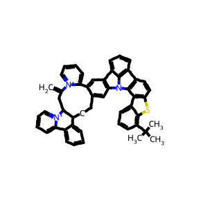 C=C1CC2C(CCc3cc4c(cc3-c3cccc[n+]31)c1cccc3c5ccc6sc7c(C(C)(C)C)cccc7c6c5n4c13)c1ccccc1-c1cccc[n+]12